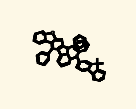 CC1(C)c2ccccc2-c2ccc(N(c3ccccc3)C3C=CC=C4c5c(cc6oc7ccccc7c6c5-c5ccccc5)N(c5ccccc5)C43)cc21